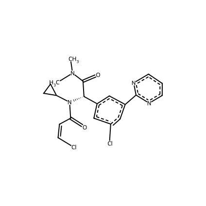 CN(C)C(=O)[C@H](c1cc(Cl)cc(-c2ncccn2)c1)N(C(=O)/C=C\Cl)C1CC1